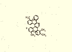 Cc1cccc(-c2cnc(-c3ccccc3)c(-c3cccc(C)c3C)c2-c2cccc(C)c2C)c1C.[Ir]